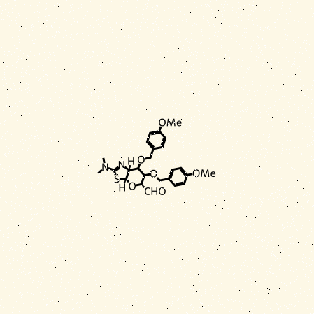 COc1ccc(COC2C(OCc3ccc(OC)cc3)[C@@H](C=O)O[C@@H]3SC(N(C)C)=N[C@H]23)cc1